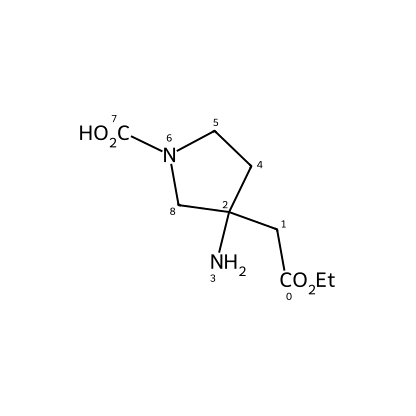 CCOC(=O)CC1(N)CCN(C(=O)O)C1